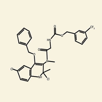 CN(C(=O)CNC(=O)OCc1cccc(C(F)(F)F)c1)C1=C(OCc2ccccc2)c2cc(Cl)ccc2NC1(C)Cl